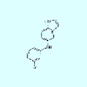 Brc1cccc(Nc2ccc3[nH]ccc3c2)c1